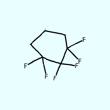 FC1(F)C[CH]CC(F)(F)C1(F)F